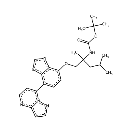 CC(C)CC(C)(COc1ccc(-c2ccnc3ccnn23)c2scnc12)NC(=O)OC(C)(C)C